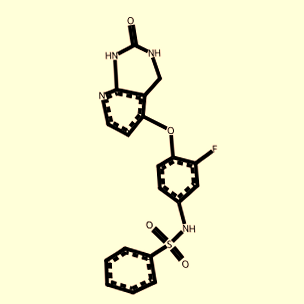 O=C1NCc2c(Oc3ccc(NS(=O)(=O)c4ccccc4)cc3F)ccnc2N1